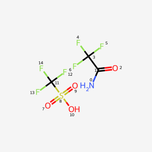 NC(=O)C(F)(F)F.O=S(=O)(O)C(F)(F)F